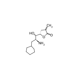 C=C1C[C@@H]([C@H](O)[C@@H](N)CC2CCCCC2)OC1=O